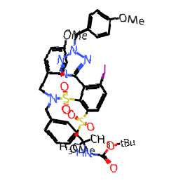 COc1ccc(CN(Cc2ccc(OC)cc2)S(=O)(=O)c2c(S(=O)(=O)CC(C)(C)NC(=O)OC(C)(C)C)ccc(I)c2-c2nnn(Cc3ccc(OC)cc3)n2)cc1